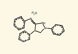 O.c1ccc(/N=C2/NN(c3ccccc3)CN2c2ccccc2)cc1